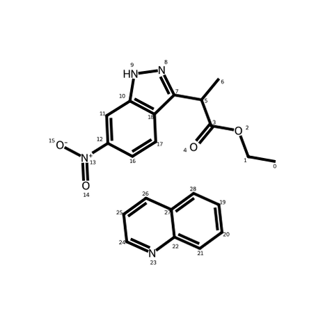 CCOC(=O)C(C)c1n[nH]c2cc([N+](=O)[O-])ccc12.c1ccc2ncccc2c1